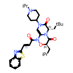 CC(C)C[C@H]1ON(C(=O)/C=C/c2nc3ccccc3s2)C2=CN(C3CCN(C(C)C)CC3)C(=O)[C@H](CC(C)(C)C)N2C1=O